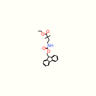 CCOC(=O)C(C)(C)CCNC(=O)OCC1c2ccccc2-c2ccccc21